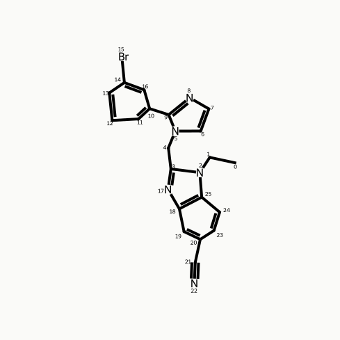 CCn1c(Cn2ccnc2-c2cccc(Br)c2)nc2cc(C#N)ccc21